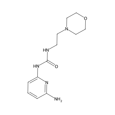 Nc1cccc(NC(=O)NCCN2CCOCC2)n1